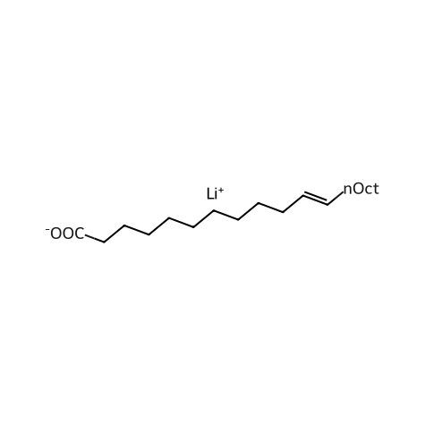 CCCCCCCCC=CCCCCCCCCCC(=O)[O-].[Li+]